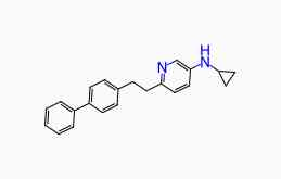 c1ccc(-c2ccc(CCc3ccc(NC4CC4)cn3)cc2)cc1